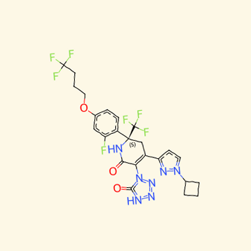 O=C1N[C@@](c2ccc(OCCCC(F)(F)F)cc2F)(C(F)(F)F)CC(c2ccn(C3CCC3)n2)=C1n1nn[nH]c1=O